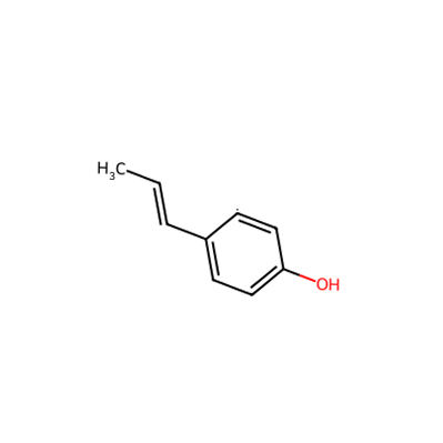 C/C=C/c1[c]cc(O)cc1